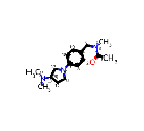 CC(=O)N(C)Cc1ccc(N2CC[C@@H](N(C)C)C2)cc1